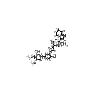 C[C@H]1CN(c2ncc(Cl)c(N3CC(C(=O)NC(C)(C)c4cnc5ccccn45)C3)n2)C[C@H](C)N1C